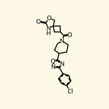 O=C1NC2(CO1)CC(C(=O)N1CCC(c3nc(-c4ccc(Cl)cc4)no3)CC1)C2